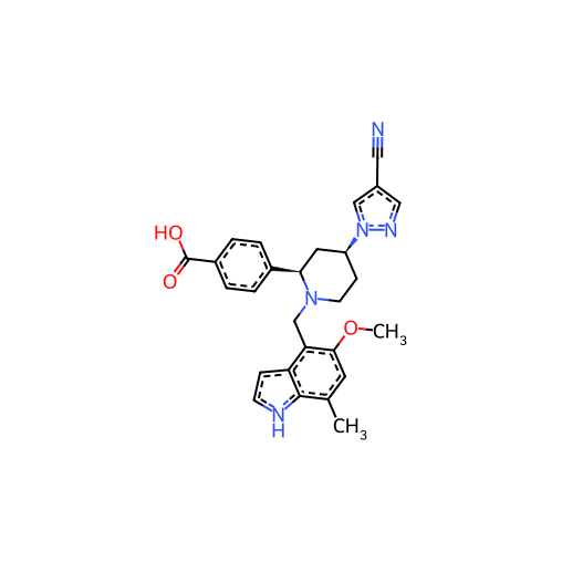 COc1cc(C)c2[nH]ccc2c1CN1CC[C@H](n2cc(C#N)cn2)C[C@@H]1c1ccc(C(=O)O)cc1